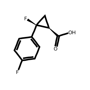 O=C(O)[C@@H]1C[C@@]1(F)c1ccc(F)cc1